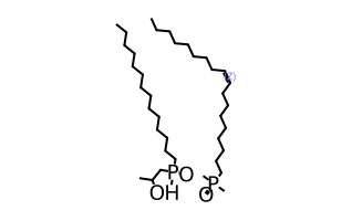 CCCCCCCC/C=C\CCCCCCCCP(C)(C)=O.CCCCCCCCCCCCCCP(C)(=O)CC(C)O